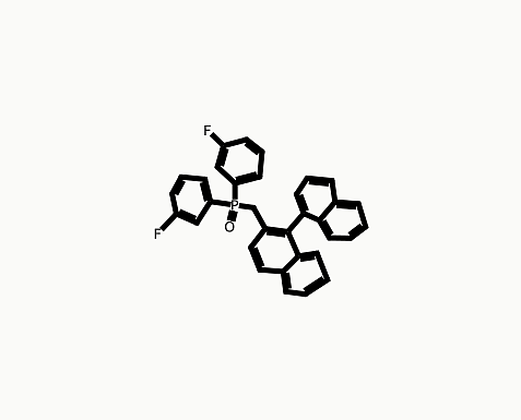 O=P(Cc1ccc2ccccc2c1-c1cccc2ccccc12)(c1cccc(F)c1)c1cccc(F)c1